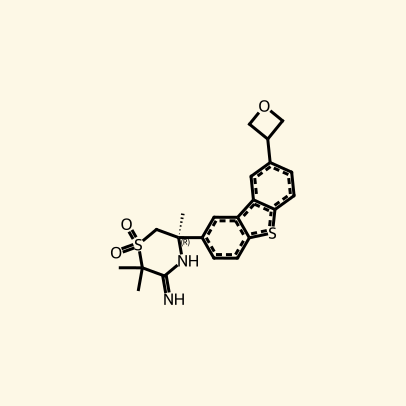 CC1(C)C(=N)N[C@](C)(c2ccc3sc4ccc(C5COC5)cc4c3c2)CS1(=O)=O